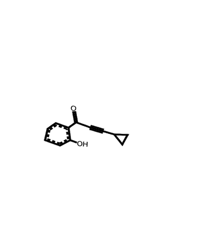 O=C(C#CC1CC1)c1ccccc1O